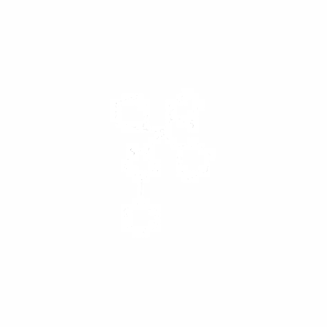 c1ccc(-c2csc(S(c3ccccc3)(c3ccccc3)c3cccs3)c2)cc1